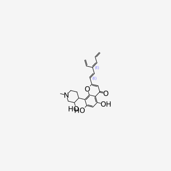 C=C/C=C(C=C)/C=C/c1cc(=O)c2c(O)cc(O)c(C3CCN(C)CC3O)c2o1